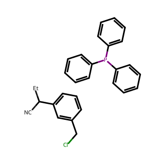 CCC(C#N)c1cccc(CCl)c1.c1ccc(P(c2ccccc2)c2ccccc2)cc1